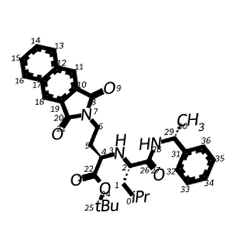 CC(C)C[C@H](N[C@H](CCN1C(=O)c2cc3ccccc3cc2C1=O)C(=O)OC(C)(C)C)C(=O)N[C@H](C)c1ccccc1